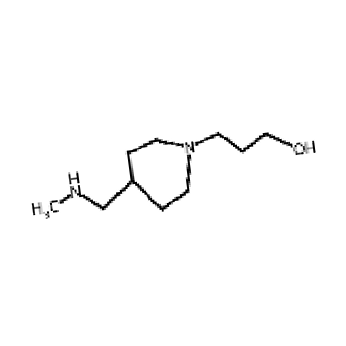 CNCC1CCN(CCCO)CC1